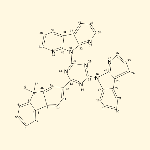 CC1(C)c2ccccc2-c2ccc(-c3nc(-n4c5ccccc5c5cccnc54)nc(-n4c5ncccc5c5cccnc54)n3)cc21